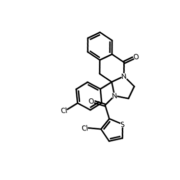 O=C1c2ccccc2CC2(c3ccc(Cl)cc3)N1CCN2C(=O)c1sccc1Cl